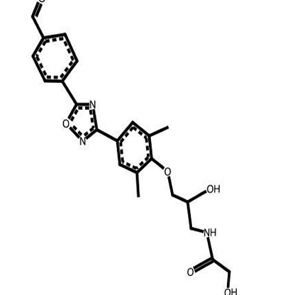 Cc1cc(-c2noc(-c3ccc(C=O)cc3)n2)cc(C)c1OCC(O)CNC(=O)CO